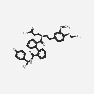 CCOc1ccc(CCN(CCC(=O)O)C(=O)c2ccccc2-c2ccccc2C(=O)NC(C)c2ccc(F)cc2)cc1OC